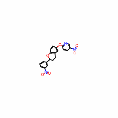 O=[N+]([O-])c1ccc(Oc2ccc3c(c2)CCC(c2cccc([N+](=O)[O-])c2)O3)nc1